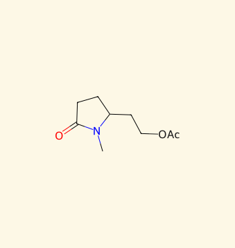 CC(=O)OCCC1CCC(=O)N1C